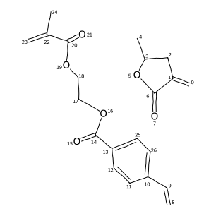 C=C1CC(C)OC1=O.C=Cc1ccc(C(=O)OCCOC(=O)C(=C)C)cc1